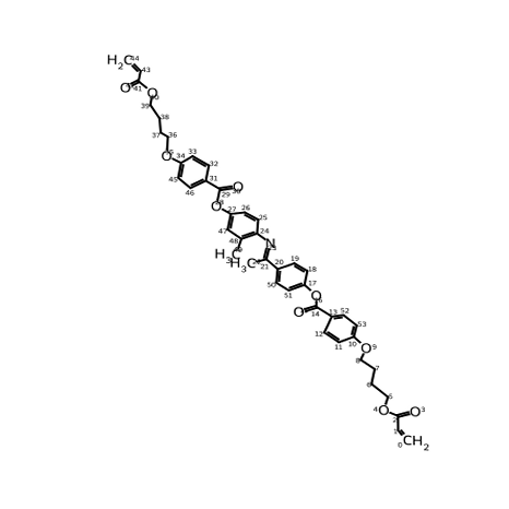 C=CC(=O)OCCCCOc1ccc(C(=O)Oc2ccc(/C(C)=N/c3ccc(OC(=O)c4ccc(OCCCCOC(=O)C=C)cc4)cc3C)cc2)cc1